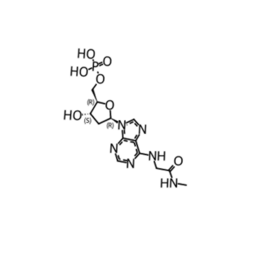 CNC(=O)CNc1ncnc2c1ncn2[C@H]1C[C@H](O)[C@@H](COP(=O)(O)O)O1